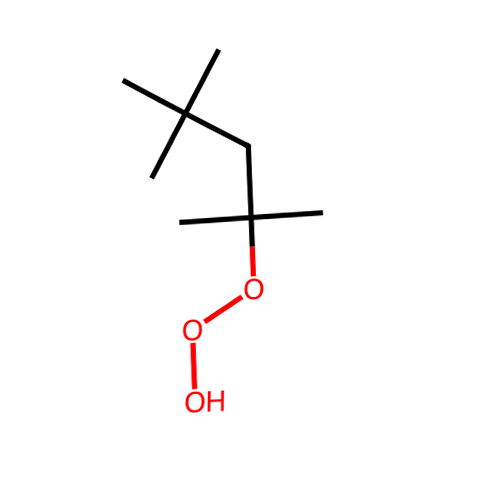 CC(C)(C)CC(C)(C)OOO